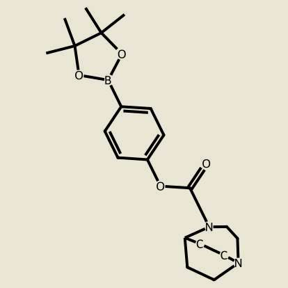 CC1(C)OB(c2ccc(OC(=O)N3CCN4CCC3CC4)cc2)OC1(C)C